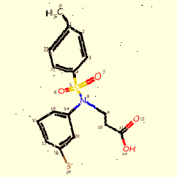 Cc1ccc(S(=O)(=O)N(CCC(=O)O)c2cccc(Br)c2)cc1